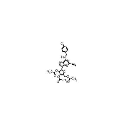 CC(=O)OCC1OC(n2cnc3c(NCc4ccc(Cl)cc4)nc(C#N)nc32)C(OC(C)=O)C1OC(C)=O